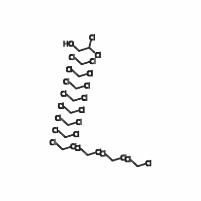 ClCCl.ClCCl.ClCCl.ClCCl.ClCCl.ClCCl.ClCCl.ClCCl.ClCCl.ClCCl.ClCCl.OCC(Cl)Cl